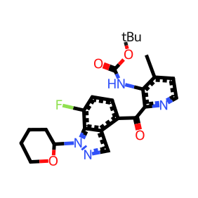 Cc1ccnc(C(=O)c2ccc(F)c3c2cnn3C2CCCCO2)c1NC(=O)OC(C)(C)C